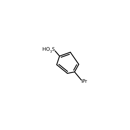 [CH2]C([CH2])c1ccc(S(=O)(=O)O)cc1